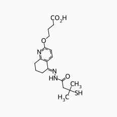 CC(C)(S)CC(=O)NN=C1CCCc2nc(OCCCC(=O)O)ccc21